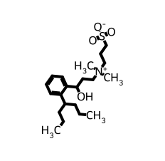 CCCC(CCC)c1ccccc1C(O)CC[N+](C)(C)CCCS(=O)(=O)[O-]